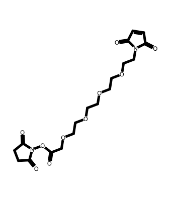 O=C(COCCOCCOCCOCCN1C(=O)C=CC1=O)ON1C(=O)CCC1=O